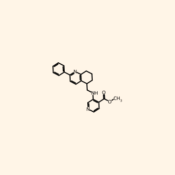 COC(=O)c1ccncc1NCC1CCCc2nc(-c3ccccc3)ccc21